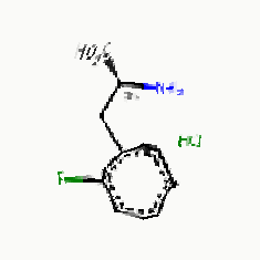 Cl.N[C@@H](Cc1ccccc1F)C(=O)O